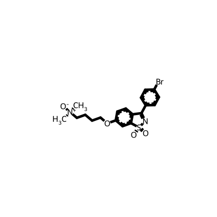 C[N+](C)([O-])CCCCOc1ccc2c(c1)S(=O)(=O)N=C2c1ccc(Br)cc1